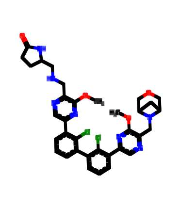 COc1nc(-c2cccc(-c3cccc(-c4cnc(CN5C6COCC5C6)c(OC)n4)c3Cl)c2Cl)cnc1CNCC1CCC(=O)N1